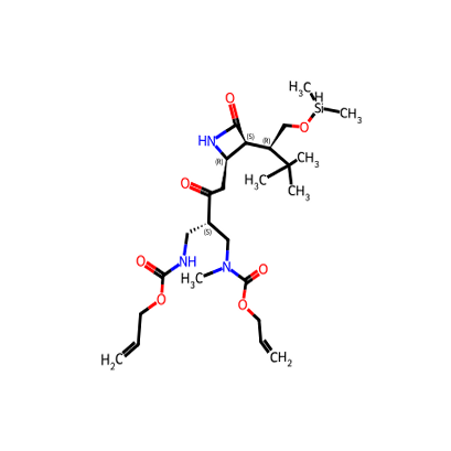 C=CCOC(=O)NC[C@@H](CN(C)C(=O)OCC=C)C(=O)C[C@H]1NC(=O)[C@H]1[C@@H](CO[SiH](C)C)C(C)(C)C